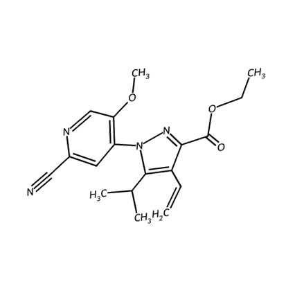 C=Cc1c(C(=O)OCC)nn(-c2cc(C#N)ncc2OC)c1C(C)C